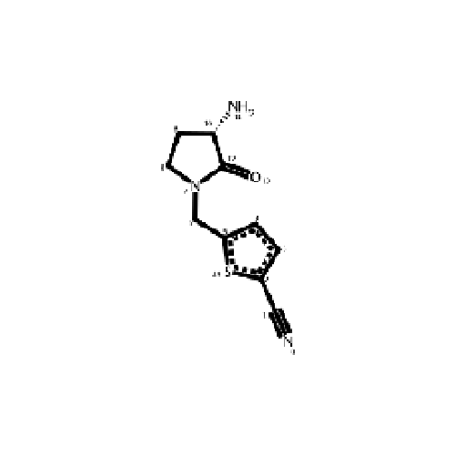 N#Cc1ccc(CN2CC[C@H](N)C2=O)s1